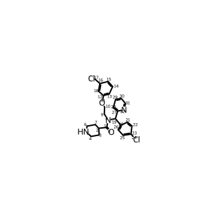 O=C(C1CCNCC1)N(CCOc1cccc(Cl)c1)C(c1ccc(Cl)cc1)c1ccccn1